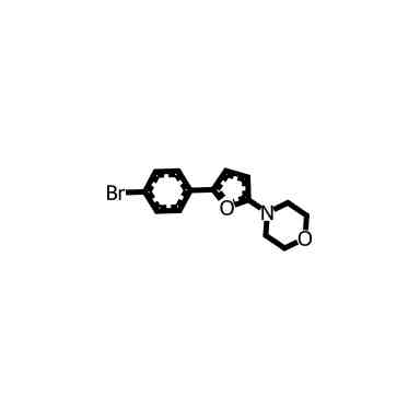 Brc1ccc(-c2ccc(N3CCOCC3)o2)cc1